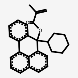 C=C(C)C(=O)OC1(C2CCCCC2)c2ccccc2-c2cccc3cccc1c23